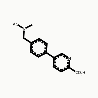 CC(=O)N(C)Cc1ccc(-c2ccc(C(=O)O)nc2)cc1